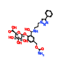 NC(=O)OCc1ccc(O[C@@H]2O[C@H](C(=O)O)[C@@H](O)[C@H](O)[C@H]2O)c(C(O)NCCCn2cc(-c3ccccc3)nn2)c1